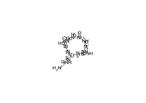 CNC(=O)C[C@@H]1NC(=O)c2csc(n2)-c2ccc(-c3nc(NC(=O)CCCN)cs3)nc2-c2csc(n2)-c2csc(n2)[C@H]([C@@H](O)c2ccccc2)NC(=O)CNC(=O)c2nc(sc2COC)[C@@H](C(C)C)NC(=O)c2nc1sc2C